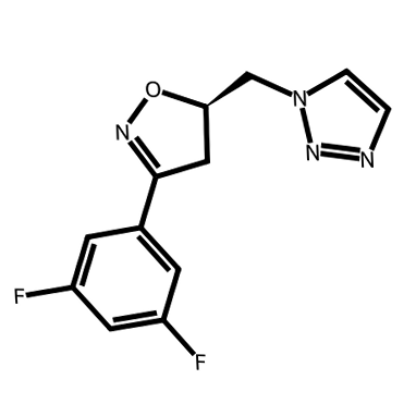 Fc1cc(F)cc(C2=NO[C@@H](Cn3ccnn3)C2)c1